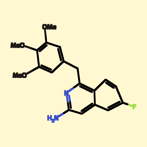 COc1cc(Cc2nc(N)cc3cc(F)ccc23)cc(OC)c1OC